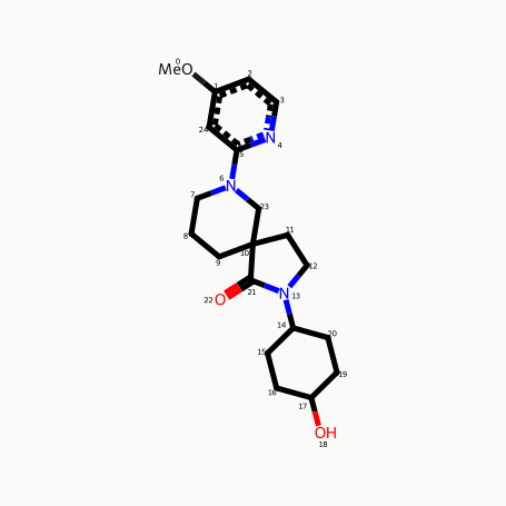 COc1ccnc(N2CCCC3(CCN(C4CCC(O)CC4)C3=O)C2)c1